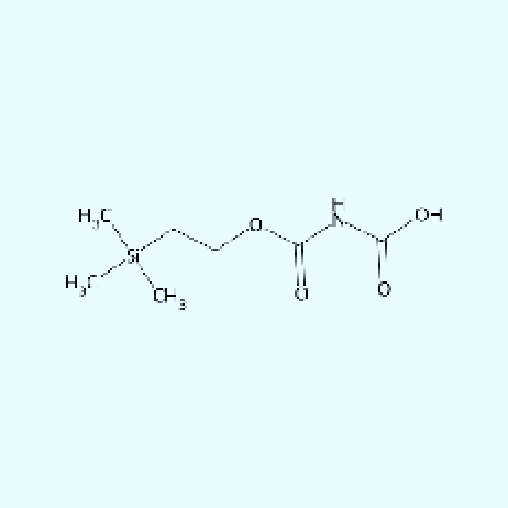 C[Si](C)(C)CCOC(=O)NC(=O)O